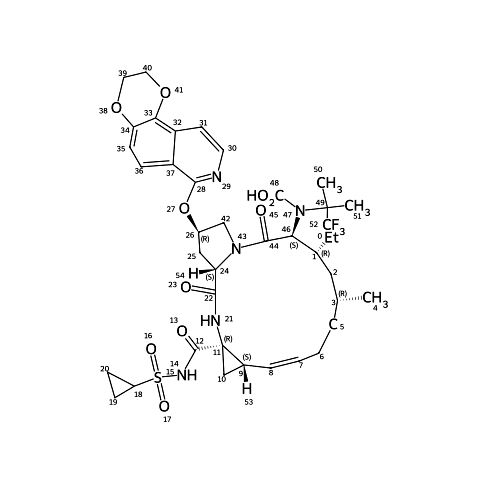 CC[C@@H]1C[C@H](C)CCC=C[C@@H]2C[C@@]2(C(=O)NS(=O)(=O)C2CC2)NC(=O)[C@@H]2C[C@@H](Oc3nccc4c5c(ccc34)OCCO5)CN2C(=O)[C@H]1N(C(=O)O)C(C)(C)C(F)(F)F